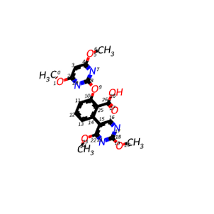 COc1cc(OC)nc(Oc2cccc(-c3cnc(OC)nc3OC)c2C(=O)O)n1